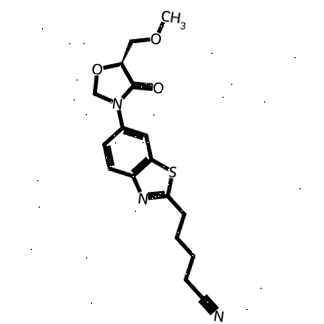 COC[C@@H]1OCN(c2ccc3nc(CCCCC#N)sc3c2)C1=O